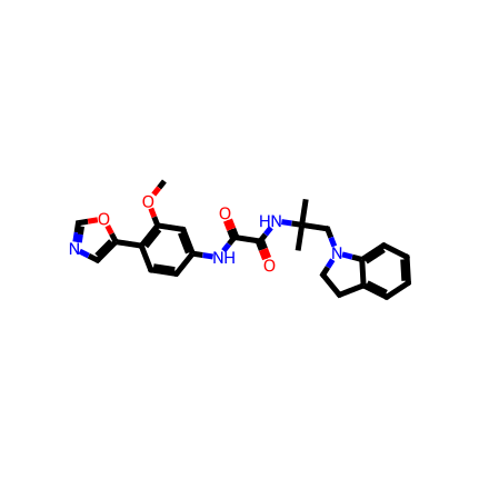 COc1cc(NC(=O)C(=O)NC(C)(C)CN2CCc3ccccc32)ccc1-c1cnco1